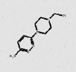 CC(C)CN1CCN(c2ccc(N)nn2)CC1